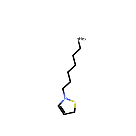 CCCCCCCCCCCCN1C=CCS1